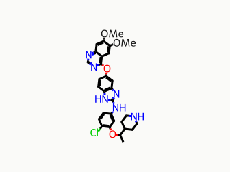 COc1cc2ncnc(Oc3ccc4[nH]c(Nc5ccc(Cl)c(OC(C)C6CCNCC6)c5)nc4c3)c2cc1OC